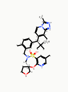 Cc1cnc2c(c1)S(=O)(=O)N(Cc1cc([C@@H](c3ccn4c(C(F)(F)F)nnc4c3C)C(C)(C)C(=O)O)ccc1C)C[C@]1(CCOC1)O2